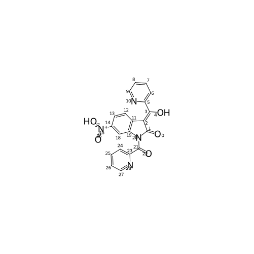 O=C1/C(=C(\O)c2ccccn2)c2ccc([N+](=O)O)cc2N1C(=O)c1ccccn1